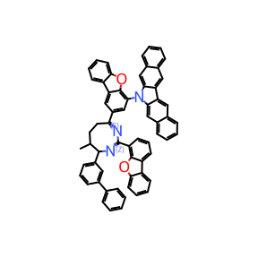 CC1CC/C(c2cc(-n3c4cc5ccccc5cc4c4cc5ccccc5cc43)c3oc4ccccc4c3c2)=N\C(c2cccc3c2oc2ccccc23)=N/C1c1cccc(-c2ccccc2)c1